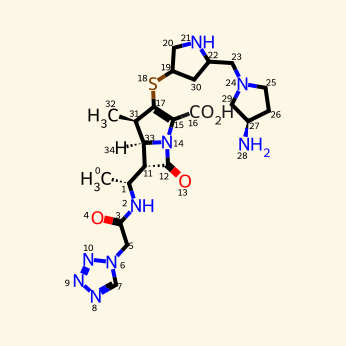 C[C@@H](NC(=O)Cn1cnnn1)[C@H]1C(=O)N2C(C(=O)O)=C(SC3CNC(CN4CC[C@@H](N)C4)C3)[C@H](C)[C@H]12